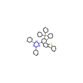 c1ccc(-c2nc(-c3ccccc3)nc(-c3cc4c(c5c3ccc3c6ccccc6sc35)-c3ccccc3C4(c3ccccc3)c3ccccc3)n2)cc1